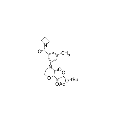 CC(=O)O[C@@H](C(=O)OC(C)(C)C)C1OCCN(c2cc(C)cc(C(=O)N3CCC3)c2)C1=O